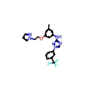 Cc1cc(Nc2ncn(-c3cccc(C(F)(F)F)c3)n2)cc(OCCn2cccn2)c1